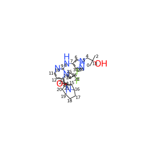 CC(C)(O)Cn1cc(Nc2nccc(C3=CC4CCC(C3)N4C(=O)[C@@H]3CC3(F)F)n2)cn1